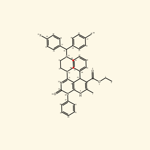 CCOC(=O)C1=C(C)Nc2c(c(N3CCN(C(c4ccc(F)cc4)c4ccc(F)cc4)CC3)nc(=O)n2-c2ccccc2)C1c1ccccc1